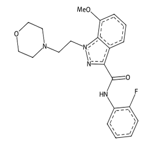 COc1cccc2c(C(=O)Nc3ccccc3F)nn(CCN3CCOCC3)c12